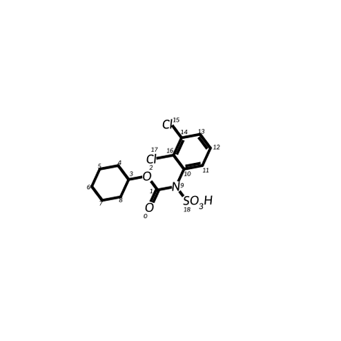 O=C(OC1CCCCC1)N(c1cccc(Cl)c1Cl)S(=O)(=O)O